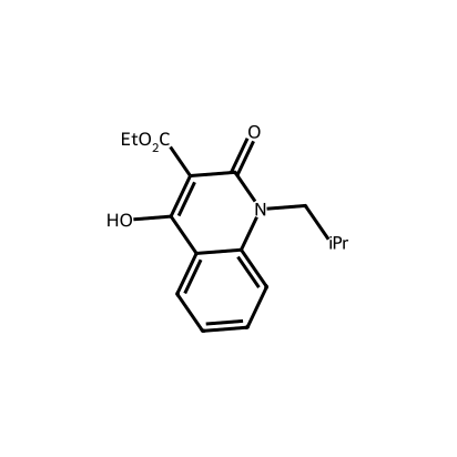 CCOC(=O)c1c(O)c2ccccc2n(CC(C)C)c1=O